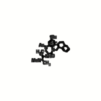 CN[C@H](C)C(=O)NC1C(=O)N(Cc2c(C)ccc3ccccc23)c2ccc(C(C)(C)C)cc2N(C(C)=O)[C@H]1C